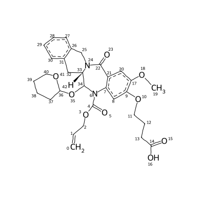 C=CCOC(=O)N1c2cc(OCCCC(=O)O)c(OC)cc2C(=O)N2Cc3ccccc3C[C@H]2C1OC1CCCCO1